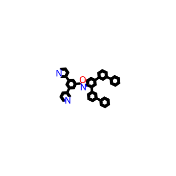 c1ccc(-c2cccc(-c3cc(-c4cccc(-c5ccccc5)c4)c4nc(-c5cc(-c6cccnc6)cc(-c6cccnc6)c5)oc4c3)c2)cc1